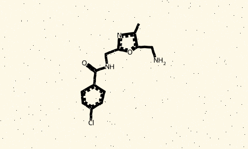 Cc1nc(CNC(=O)c2ccc(Cl)cc2)oc1CN